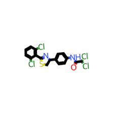 O=C(Nc1ccc(C2CSC(c3c(Cl)cccc3Cl)=N2)cc1)C(Cl)Cl